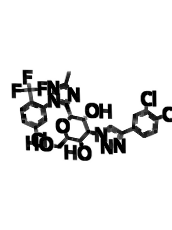 Cc1nc([C@@H]2O[C@H](CO)[C@H](O)[C@H](n3cc(-c4ccc(Cl)c(Cl)c4)nn3)[C@H]2O)n(-c2cc(Cl)ccc2C(F)(F)F)n1